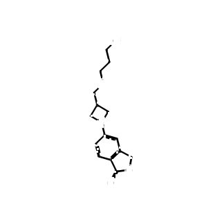 CCCCOCC1CN(c2ccc3c(c2)COC3=O)C1